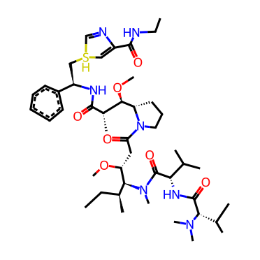 CCNC(=O)C1=C[SH](C[C@@H](NC(=O)[C@@H](C)[C@@H](OC)[C@@H]2CCCN2C(=O)C[C@@H](OC)[C@H]([C@@H](C)CC)N(C)C(=O)[C@@H](NC(=O)[C@H](C(C)C)N(C)C)C(C)C)c2ccccc2)C=N1